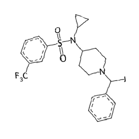 O=S(=O)(c1cccc(C(F)(F)F)c1)N(C1CC1)C1CCN(C(I)c2ccccc2)CC1